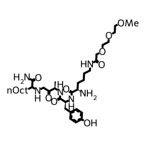 CCCCCCCCC(NCC(=O)[C@@H](C)NC(=O)[C@H](Cc1ccc(O)cc1)NC(=O)[C@@H](N)CCCCNC(=O)COCCOCCOC)C(N)=O